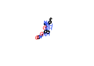 Cc1ccc(C(C)(C)C)cc1-n1nccc1NC(=O)Nc1ccc(NC(=O)CN2CCOCC2)c2ccccc12